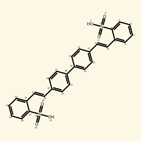 O=S(=O)(O)c1ccccc1C=Cc1ccc(-c2ccc(C=Cc3ccccc3S(=O)(=O)O)cc2)cc1